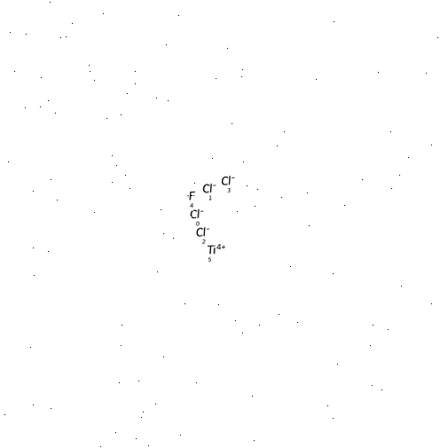 [Cl-].[Cl-].[Cl-].[Cl-].[F].[Ti+4]